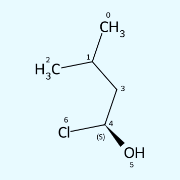 CC(C)C[C@@H](O)Cl